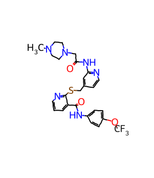 CN1CCN(CC(=O)Nc2cc(CSc3ncccc3C(=O)Nc3ccc(OC(F)(F)F)cc3)ccn2)CC1